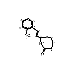 O=C1CCCCC(C=Cc2ccccc2[N+](=O)[O-])N1